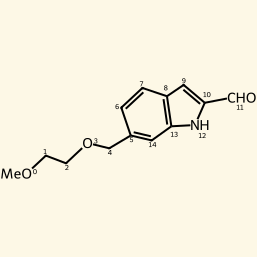 COCCOCc1ccc2cc(C=O)[nH]c2c1